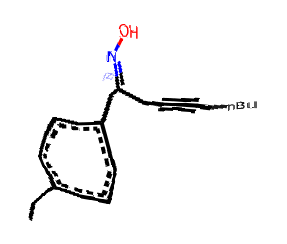 CCCCC#C/C(=N\O)c1ccc(C)cc1